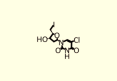 O=c1[nH]c(=O)n([C@H]2C[C@H](O)[C@@H](CI)O2)cc1Cl